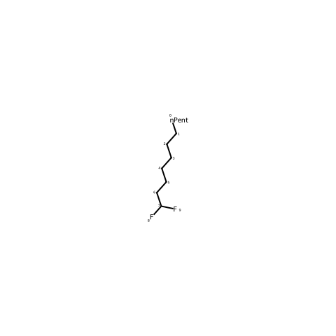 [CH2]CCCCCCCCCCC(F)F